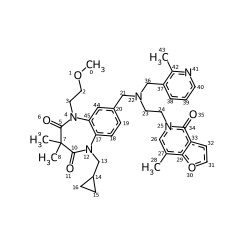 COCCN1C(=O)C(C)(C)C(=O)N(CC2CC2)c2ccc(CN(CCn3cc(C)c4occc4c3=O)Cc3cccnc3C)cc21